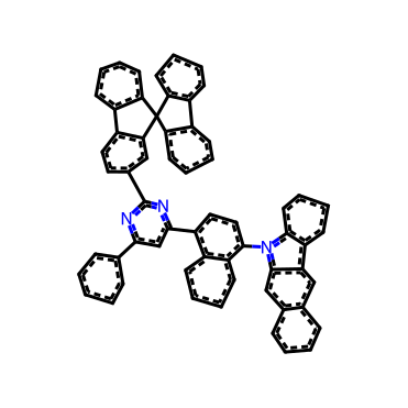 c1ccc(-c2cc(-c3ccc(-n4c5ccccc5c5cc6ccccc6cc54)c4ccccc34)nc(-c3ccc4c(c3)C3(c5ccccc5-c5ccccc53)c3ccccc3-4)n2)cc1